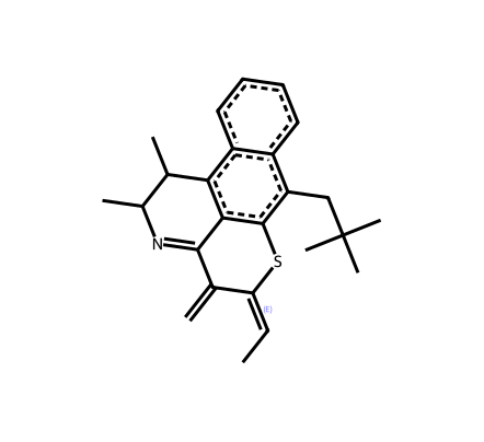 C=C1C2=NC(C)C(C)c3c2c(c(CC(C)(C)C)c2ccccc32)S/C1=C/C